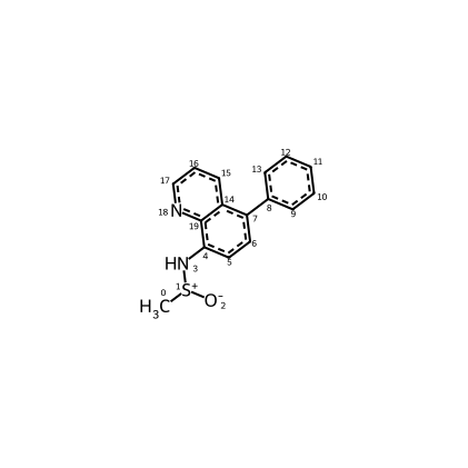 C[S+]([O-])Nc1ccc(-c2ccccc2)c2cccnc12